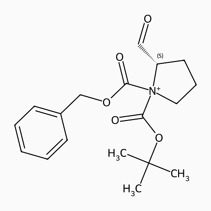 CC(C)(C)OC(=O)[N+]1(C(=O)OCc2ccccc2)CCC[C@H]1C=O